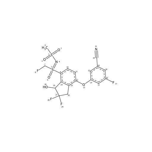 CS(=O)(=O)N=S(=O)(CF)c1ccc(Oc2cc(F)cc(C#N)c2)c2c1C(O)C(F)(F)C2